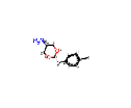 Cc1ccc(C[C@H]2OC[C@H](N)CO2)cc1